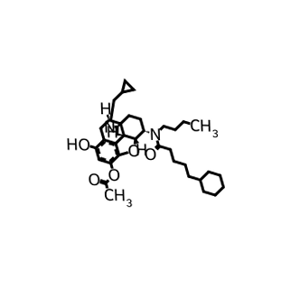 CCCCN(C(=O)CCCCC1CCCCC1)[C@H]1CC[C@H]2[C@H]3Cc4c(O)cc(OC(C)=O)c5c4[C@@]2(CCN3CC2CC2)[C@H]1O5